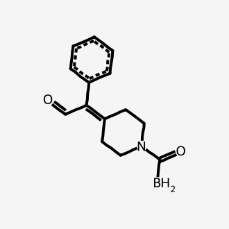 BC(=O)N1CCC(=C(C=O)c2ccccc2)CC1